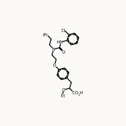 CCOC(Cc1ccc(OCCN(CCC(C)C)C(=O)Nc2ccccc2Cl)cc1)C(=O)O